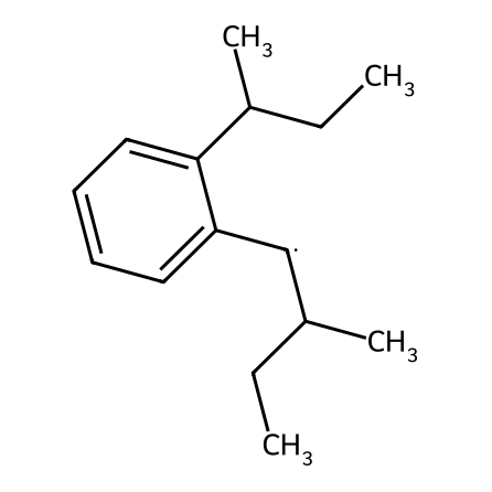 CCC(C)[CH]c1ccccc1C(C)CC